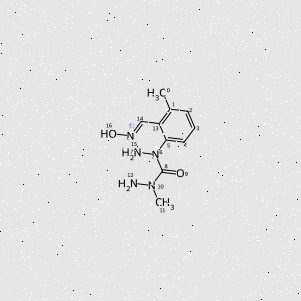 Cc1cccc(N(N)C(=O)N(C)N)c1/C=N/O